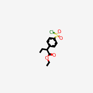 CCOC(=O)C(CC)c1ccc(S(=O)(=O)Cl)cc1